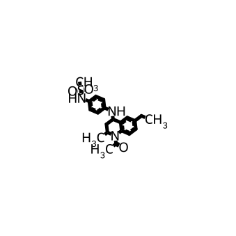 CCc1ccc2c(c1)C(Nc1ccc(NS(C)(=O)=O)cc1)CC(C)N2C(C)=O